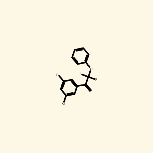 C=C(c1cc(Cl)cc(Cl)c1)C(F)(F)Oc1ccccc1